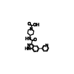 O=C(NC1CCN(C(=O)O)CC1)c1n[nH]c2ccc(-c3cccnc3)cc12